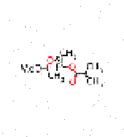 C=C(C)C(=O)OC[SiH](C)OC(C)OC